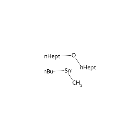 CCCCCCCOCCCCCCC.CCC[CH2][Sn][CH3]